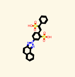 O=S(=O)(O)C(=Cc1ccc(-n2nc3ccc4ccccc4c3n2)cc1S(=O)(=O)O)c1ccccc1